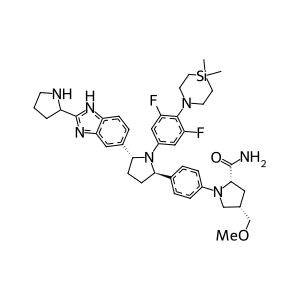 COC[C@H]1C[C@@H](C(N)=O)N(c2ccc([C@H]3CC[C@H](c4ccc5[nH]c(C6CCCN6)nc5c4)N3c3cc(F)c(N4CC[Si](C)(C)CC4)c(F)c3)cc2)C1